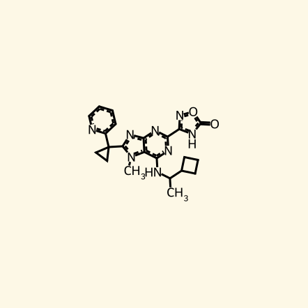 CC(Nc1nc(-c2noc(=O)[nH]2)nc2nc(C3(c4ccccn4)CC3)n(C)c12)C1CCC1